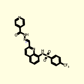 O=C(N/N=C/c1ccc2cccc(NS(=O)(=O)c3ccc(C(F)(F)F)cc3)c2n1)c1ccncc1